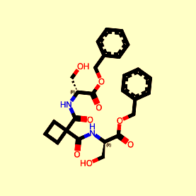 O=C(OCc1ccccc1)[C@@H](CO)NC(=O)C1(C(=O)N[C@H](CO)C(=O)OCc2ccccc2)CCC1